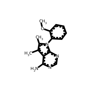 COc1ccccc1-n1c(C)c(C)c2c(N)ncnc21